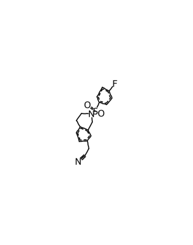 N#CCc1ccc2c(c1)CN(S(=O)(=O)c1ccc(F)cc1)CC2